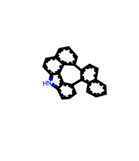 c1ccc2c3c(ccc2c1)-c1cccc2ccc4[nH]c5cccc-3c5c4c12